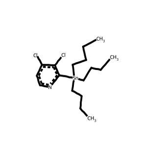 CCC[CH2][Sn]([CH2]CCC)([CH2]CCC)[c]1nccc(Cl)c1Cl